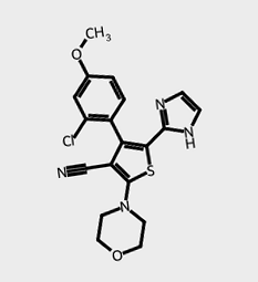 COc1ccc(-c2c(-c3ncc[nH]3)sc(N3CCOCC3)c2C#N)c(Cl)c1